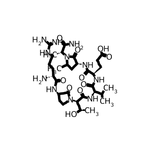 CC(C)[C@@H](NC(=O)[C@@H]([C@@H](C)O)N1CC[C@@H](NC(=O)[C@H](N)CCCNC(=N)N)C1=O)C(=O)N[C@H](CCC(=O)O)C(=O)N[C@@H]1CC(C)N([C@H](C)C(N)=O)C1=O